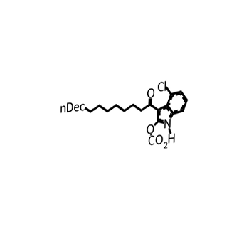 CCCCCCCCCCCCCCCCCC(=O)c1c(OC(=O)O)n(C)c2cccc(Cl)c12